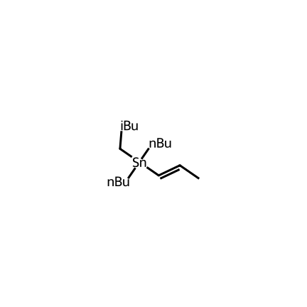 CC=[CH][Sn]([CH2]CCC)([CH2]CCC)[CH2]C(C)CC